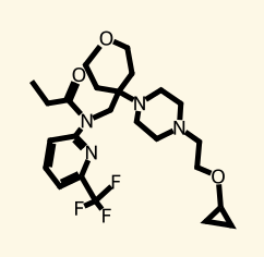 CCC(=O)N(CC1(N2CCN(CCOC3CC3)CC2)CCOCC1)c1cccc(C(F)(F)F)n1